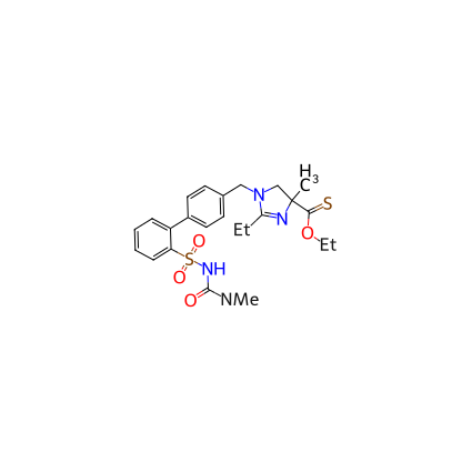 CCOC(=S)C1(C)CN(Cc2ccc(-c3ccccc3S(=O)(=O)NC(=O)NC)cc2)C(CC)=N1